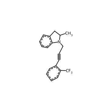 CC1Cc2ccccc2N1CC#Cc1ccccc1C(F)(F)F